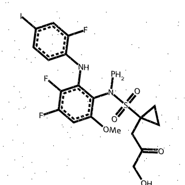 COc1cc(F)c(F)c(Nc2ccc(I)cc2F)c1N(P)S(=O)(=O)C1(CC(=O)CO)CC1